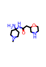 CN1CCC(N)(NC(=O)CC2CNCCO2)CC1